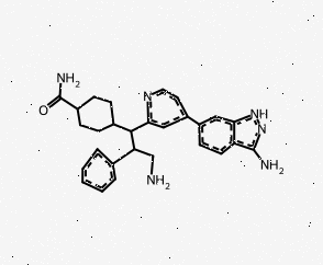 NCC(c1ccccc1)C(c1cc(-c2ccc3c(N)n[nH]c3c2)ccn1)C1CCC(C(N)=O)CC1